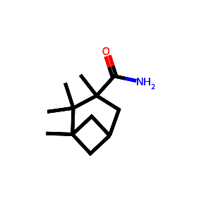 CC12CC(C1)CC(C)(C(N)=O)C2(C)C